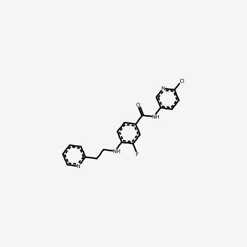 O=C(Nc1ccc(Cl)nc1)c1ccc(NCCc2ccccn2)c(F)c1